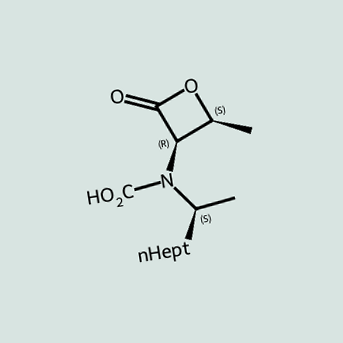 CCCCCCC[C@H](C)N(C(=O)O)[C@H]1C(=O)O[C@H]1C